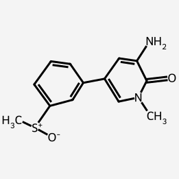 Cn1cc(-c2cccc([S+](C)[O-])c2)cc(N)c1=O